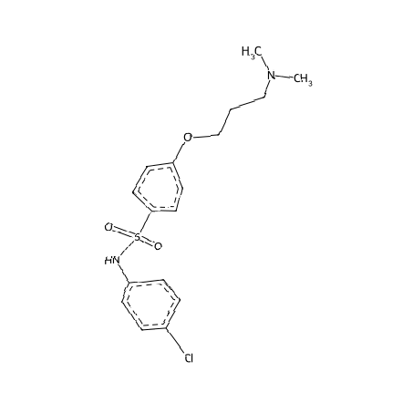 CN(C)CCCOc1ccc(S(=O)(=O)Nc2ccc(Cl)cc2)cc1